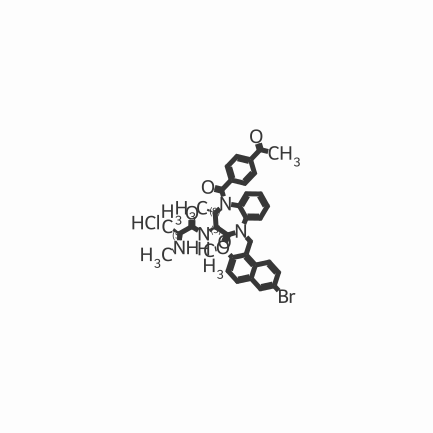 CN[C@@H](C)C(=O)N[C@@H]1C(=O)N(Cc2c(OC)ccc3cc(Br)ccc23)c2ccccc2N(C(=O)c2ccc(C(C)=O)cc2)[C@H]1C.Cl